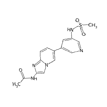 CC(=O)Nc1cn2cc(-c3cncc(NS(C)(=O)=O)c3)ccc2n1